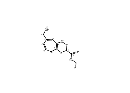 CCOC(=O)C1COC2=C(CC=CC(CO)=C2)C1